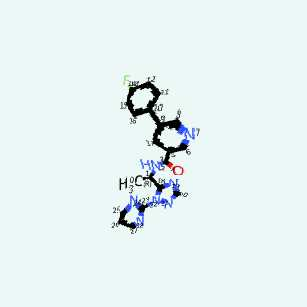 C[C@@H](NC(=O)c1cncc(-c2ccc(F)cc2)c1)c1ncnn1-c1ncccn1